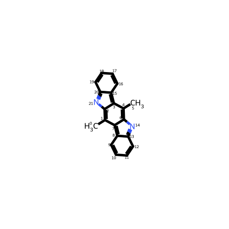 Cc1c2c(c(C)c3c1=c1ccccc1=N3)=c1ccccc1=N2